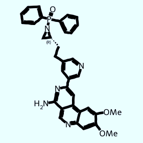 COc1cc2ncc3c(N)nc(-c4cncc(CC[C@@H]5CN5P(=O)(c5ccccc5)c5ccccc5)c4)cc3c2cc1OC